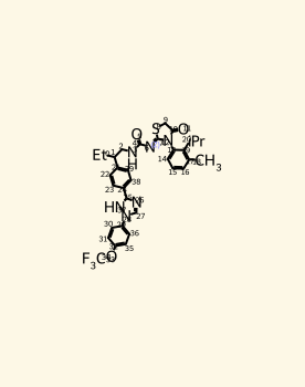 CCC(CNC(=O)/N=C1\SCC(=O)N1c1cccc(C)c1C(C)C)c1ccc(C2N=CN(c3ccc(OC(F)(F)F)cc3)N2)cc1